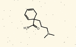 CN(C)CCCC1(C(N)=O)C=CC=CC1